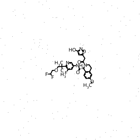 COc1ccc2c(c1)CCN(C(=O)Cc1cc(O)no1)[C@H]2C(=O)Nc1cnc(C(C)(C)COCC(F)F)c(F)c1